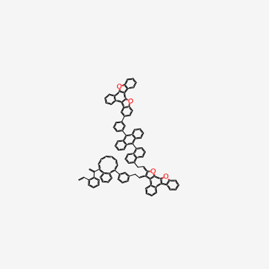 C=Cc1ccccc1C(=C)c1ccccccc(-c2cccc(C/C=c3\c(=C/Cc4cccc5c(-c6c7ccccc7c(-c7cccc(-c8ccc9oc%10c(c9c8)c8ccccc8c8oc9ccccc9c8%10)c7)c7ccccc67)cccc45)oc4c5oc6ccccc6c5c5ccccc5c34)c2)c2ccccc12